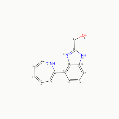 OCc1nc2c(C3=CC=CC=CN3)cccc2[nH]1